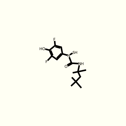 CC(C)(C)CC(C)(C)NC(=O)N(S)c1cc(F)c(O)c(F)c1